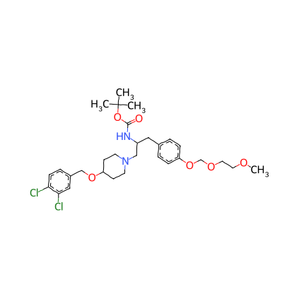 COCCOCOc1ccc(CC(CN2CCC(OCc3ccc(Cl)c(Cl)c3)CC2)NC(=O)OC(C)(C)C)cc1